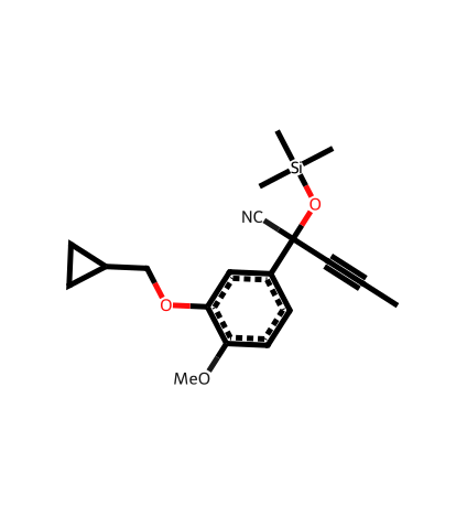 CC#CC(C#N)(O[Si](C)(C)C)c1ccc(OC)c(OCC2CC2)c1